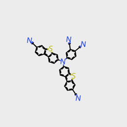 N#Cc1ccc2c(c1)sc1cc(N(c3ccc(C#N)c(C#N)c3)c3ccc4c(c3)sc3cc(C#N)ccc34)ccc12